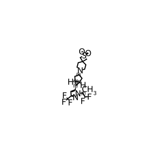 C[C@H](C(F)F)n1nc(C(F)(F)F)cc1[C@H]1[C@@H]2C[C@H](N3CCC4(CC3)CS(=O)(=O)C4)C[C@@H]21